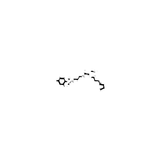 CC(C)C[C@H](NC(=O)CCc1cccs1)C(=O)NCCCNS(=O)(=O)c1ccc(F)cc1Cl